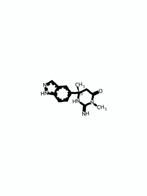 CN1C(=N)N[C@](C)(c2ccc3[nH]ncc3c2)CC1=O